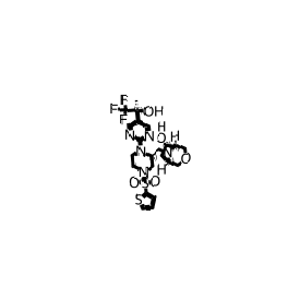 C[C@](O)(c1cnc(N2CCN(S(=O)(=O)c3cccs3)C[C@@H]2CN2[C@H]3COC[C@@H]2[C@H](O)C3)nc1)C(F)(F)F